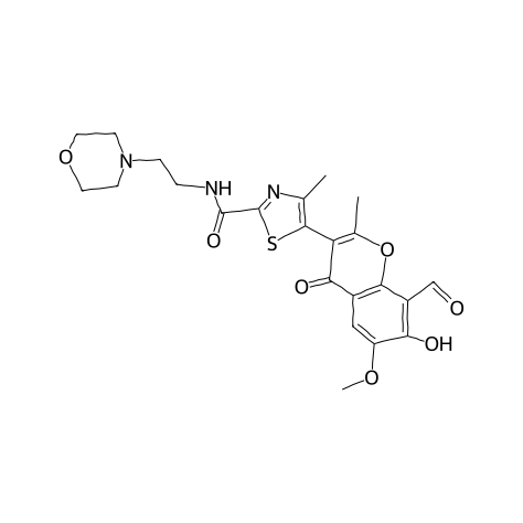 COc1cc2c(=O)c(-c3sc(C(=O)NCCN4CCOCC4)nc3C)c(C)oc2c(C=O)c1O